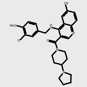 COc1ccc(CNc2c(C(=O)N3CCC(N4CCCC4)CC3)cnc3ccc(C#N)cc23)cc1Cl